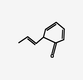 CC=CC1C=CC=CC1=O